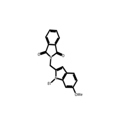 CCn1c(CN2C(=O)c3ccccc3C2=O)cc2ccc(OC)cc21